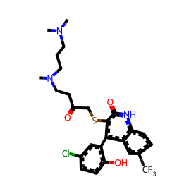 CN(C)CCCN(C)CCC(=O)CSc1c(-c2cc(Cl)ccc2O)c2cc(C(F)(F)F)ccc2[nH]c1=O